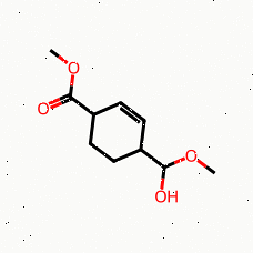 COC(=O)C1C=CC(C(O)OC)CC1